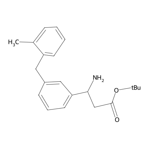 Cc1ccccc1Cc1cccc(C(N)CC(=O)OC(C)(C)C)c1